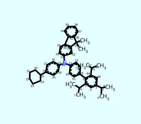 CC(C)c1cc(C(C)C)c(-c2ccc(N(c3ccc(C4CCCCC4)cc3)c3ccc4c(c3)C(C)(C)c3ccccc3-4)cc2)c(C(C)C)c1